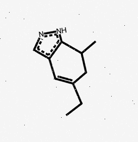 CCC1=Cc2cn[nH]c2C(C)C1